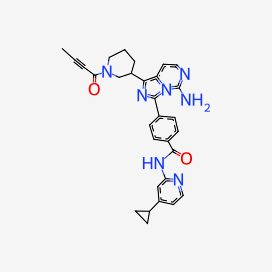 CC#CC(=O)N1CCCC(c2nc(-c3ccc(C(=O)Nc4cc(C5CC5)ccn4)cc3)n3c(N)nccc23)C1